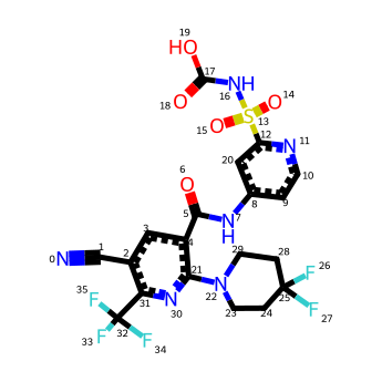 N#Cc1cc(C(=O)Nc2ccnc(S(=O)(=O)NC(=O)O)c2)c(N2CCC(F)(F)CC2)nc1C(F)(F)F